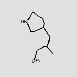 CC(CO)CC1CCNC1